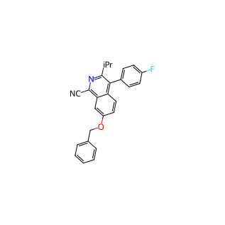 CC(C)c1nc(C#N)c2cc(OCc3ccccc3)ccc2c1-c1ccc(F)cc1